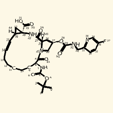 CC(C)(C)OC(=O)N[C@H]1CCCCC/C=C\[C@@H]2C[C@@]2(C(=O)O)NC(=O)[C@@H]2C[C@@H](OC(=O)NCc3ccc(F)cn3)CN2C1=O